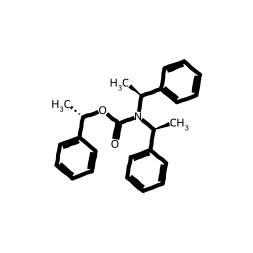 C[C@H](OC(=O)N([C@@H](C)c1ccccc1)[C@@H](C)c1ccccc1)c1ccccc1